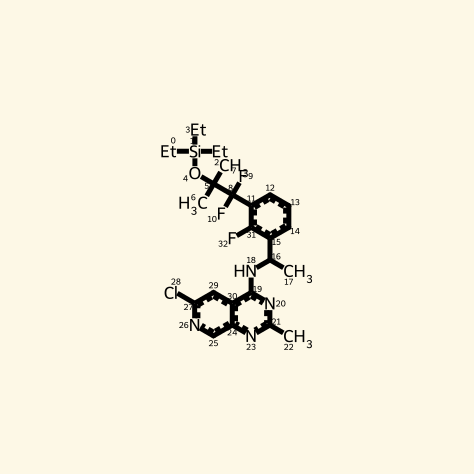 CC[Si](CC)(CC)OC(C)(C)C(F)(F)c1cccc(C(C)Nc2nc(C)nc3cnc(Cl)cc23)c1F